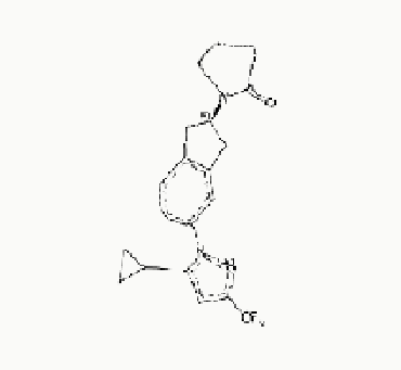 O=C1CCCN1[C@@H]1Cc2ccc(-n3nc(C(F)(F)F)cc3C3CC3)cc2C1